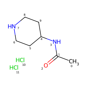 CC(=O)NC1CCNCC1.Cl.Cl